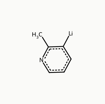 [Li][c]1cccnc1C